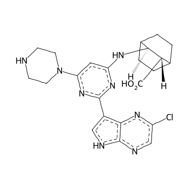 O=C(O)[C@H]1C2CCC(CC2)[C@@H]1Nc1cc(N2CCNCC2)nc(-c2c[nH]c3ncc(Cl)nc23)n1